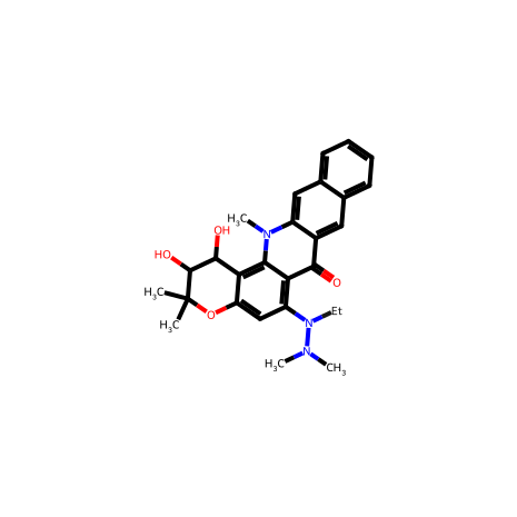 CCN(c1cc2c(c3c1c(=O)c1cc4ccccc4cc1n3C)C(O)C(O)C(C)(C)O2)N(C)C